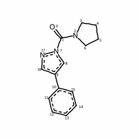 O=C(N1CCCC1)n1cc(-c2ccccc2)cn1